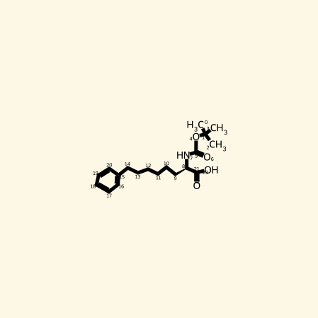 CC(C)(C)OC(=O)N[C@H](CCCCCCc1ccccc1)C(=O)O